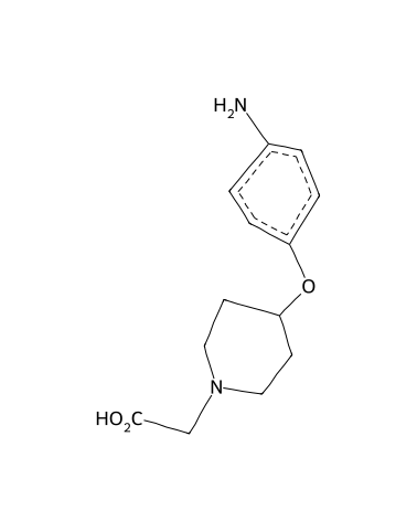 Nc1ccc(OC2CCN(CC(=O)O)CC2)cc1